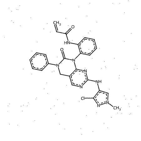 C=CC(=O)Nc1ccccc1N1C(=O)N(c2ccccc2)Cc2cnc(Nc3cn(C)nc3Cl)nc21